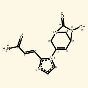 NC(=O)C=Cc1nccn1C1=CC2CN(C1)C(=O)N2O